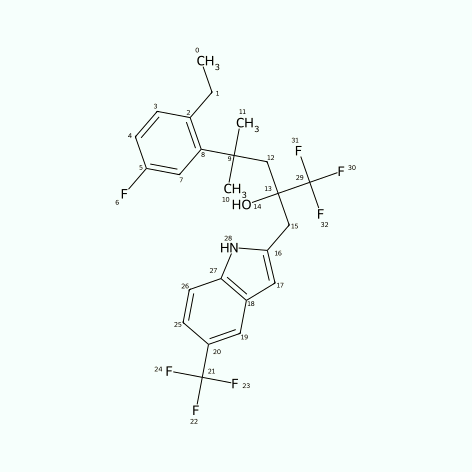 CCc1ccc(F)cc1C(C)(C)CC(O)(Cc1cc2cc(C(F)(F)F)ccc2[nH]1)C(F)(F)F